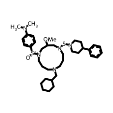 COC1CN(SN2CCC(c3ccccc3)CC2)CCCN(CC2CCCCC2)CCCN([S+]([O-])c2ccc(N(C)C)cc2)C1